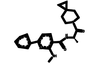 CNc1nc(-c2ccccc2)ccc1C(=O)N[C@@H](C)C(=O)N1CCC2(CC1)CC2